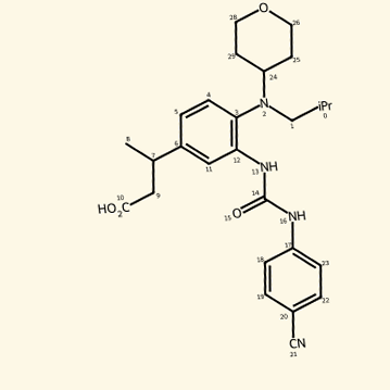 CC(C)CN(c1ccc(C(C)CC(=O)O)cc1NC(=O)Nc1ccc(C#N)cc1)C1CCOCC1